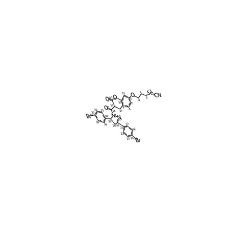 N#C[Se]CCCOc1ccc2c(c1)OC(=O)C(C(=O)N1N=C(c3ccc(Br)cc3)CC1c1ccc(Br)cc1)C2